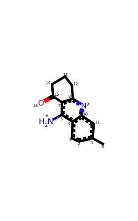 Cc1ccc2c(N)c3c(nc2c1)CCCC3=O